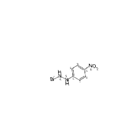 O=[N+]([O-])c1ccc(NNBr)cc1